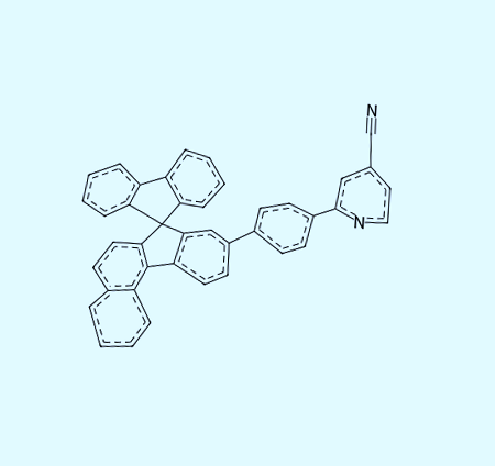 N#Cc1ccnc(-c2ccc(-c3ccc4c(c3)C3(c5ccccc5-c5ccccc53)c3ccc5ccccc5c3-4)cc2)c1